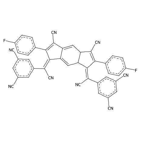 N#CC1=C(c2ccc(F)cc2)/C(=C(/C#N)c2cc(C#N)cc(C#N)c2)C2=CC3/C(=C(\C#N)c4cc(C#N)cc(C#N)c4)C(c4ccc(F)cc4)=C(C#N)C3C=C21